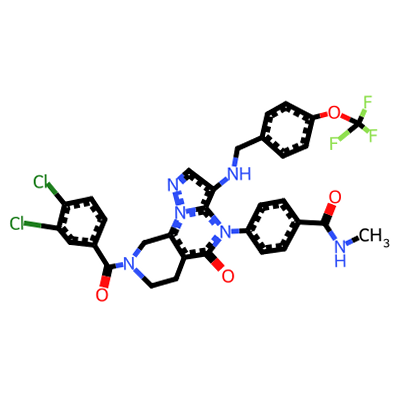 CNC(=O)c1ccc(-n2c(=O)c3c(n4ncc(NCc5ccc(OC(F)(F)F)cc5)c24)CN(C(=O)c2ccc(Cl)c(Cl)c2)CC3)cc1